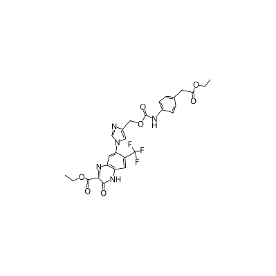 CCOC(=O)Cc1ccc(NC(=O)OCc2cn(-c3cc4nc(C(=O)OCC)c(=O)[nH]c4cc3C(F)(F)F)cn2)cc1